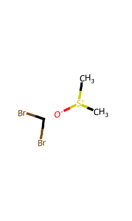 BrCBr.C[S+](C)[O-]